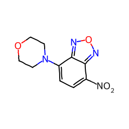 O=[N+]([O-])c1ccc(N2CCOCC2)c2nonc12